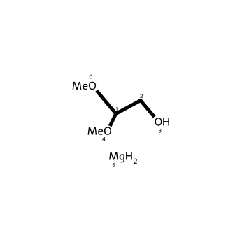 COC(CO)OC.[MgH2]